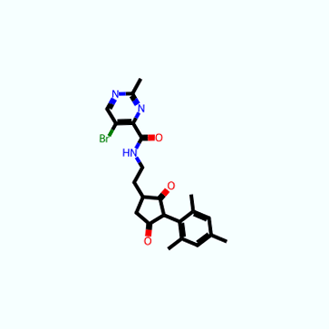 Cc1cc(C)c(C2C(=O)CC(CCNC(=O)c3nc(C)ncc3Br)C2=O)c(C)c1